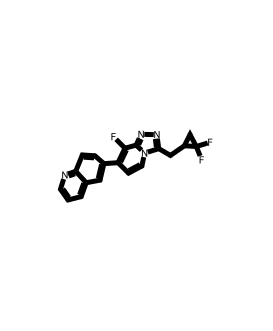 Fc1c(-c2ccc3ncccc3c2)ccn2c(CC3CC3(F)F)nnc12